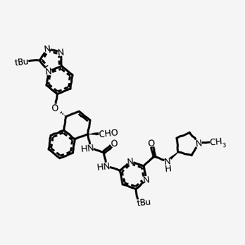 CN1CC[C@H](NC(=O)c2nc(NC(=O)N[C@@]3(C=O)C=C[C@@H](Oc4ccc5nnc(C(C)(C)C)n5c4)c4ccccc43)cc(C(C)(C)C)n2)C1